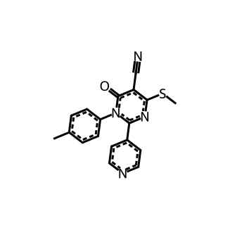 CSc1nc(-c2ccncc2)n(-c2ccc(C)cc2)c(=O)c1C#N